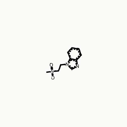 CS(=O)(=O)CCn1[c]nc2ccccc21